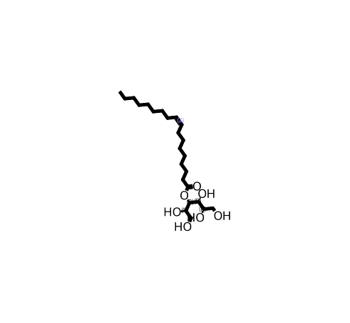 CCCCCCCC/C=C\CCCCCCCC(=O)O[C@@H]([C@H](O)[C@H](O)CO)[C@H](O)CO